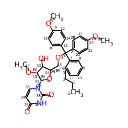 CCCC[C@@H](OC(c1ccccc1)(c1ccc(OC)cc1)c1ccc(OC)cc1)[C@H]1O[C@@H](n2ccc(=O)[nH]c2=O)[C@@H](OC)C1O